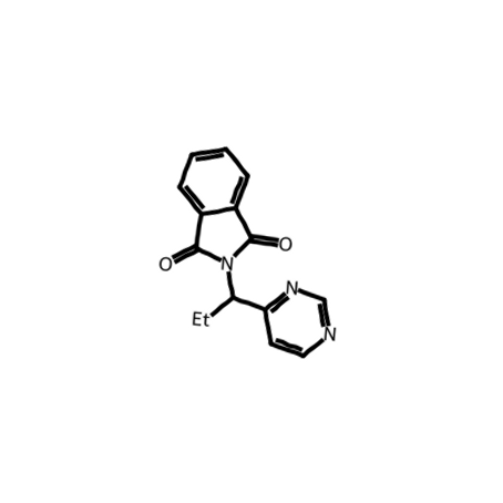 CCC(c1ccncn1)N1C(=O)c2ccccc2C1=O